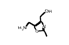 Cc1nc(CO)c(CN)o1